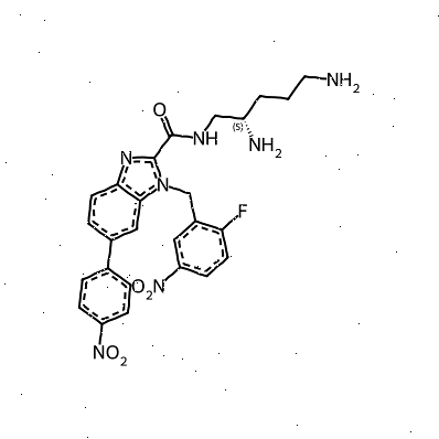 NCCC[C@H](N)CNC(=O)c1nc2ccc(-c3ccc([N+](=O)[O-])cc3)cc2n1Cc1cc([N+](=O)[O-])ccc1F